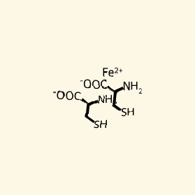 N[C@@H](CS)C(=O)[O-].N[C@@H](CS)C(=O)[O-].[Fe+2]